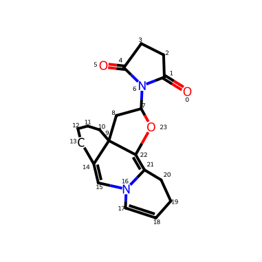 O=C1CCC(=O)N1C1CC23CCCCC2=CN2C=CCCC2=C3O1